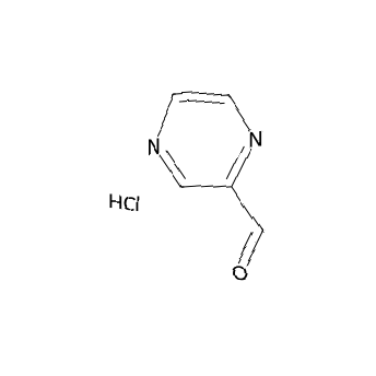 Cl.O=Cc1cnccn1